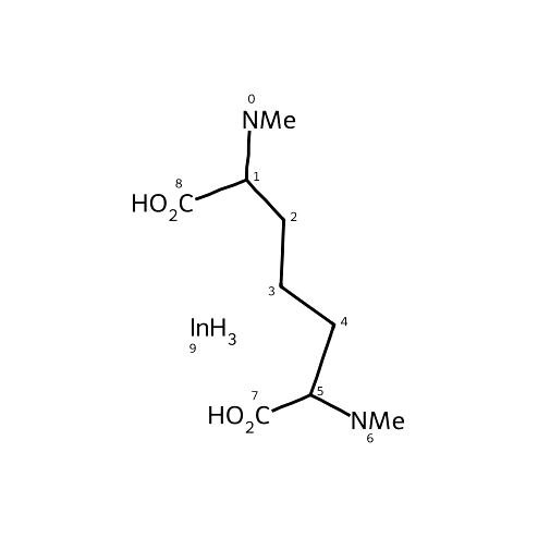 CNC(CCCC(NC)C(=O)O)C(=O)O.[InH3]